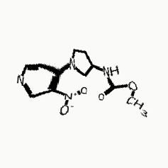 COC(=O)NC1CCN(c2ccncc2[N+](=O)[O-])C1